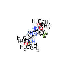 C=C(C)C(N[S@@+]([O-])C(C)(C)C)c1cnn2cc([C@@H](NC(=O)OC(C)(C)C)C3CCC(F)(F)CC3)nc2c1